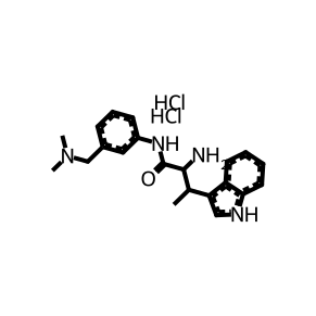 CC(c1c[nH]c2ccccc12)C(N)C(=O)Nc1cccc(CN(C)C)c1.Cl.Cl